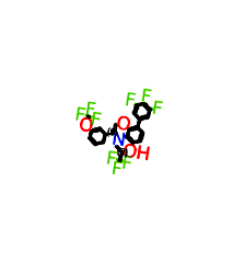 O[C@H](CN1c2cccc(-c3cc(F)c(F)c(F)c3)c2OC[C@@H]1C1C=C(OC(F)(F)F)C=CC1)C(F)(F)F